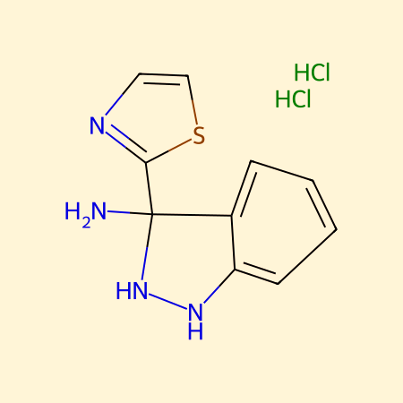 Cl.Cl.NC1(c2nccs2)NNc2ccccc21